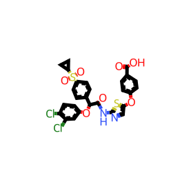 O=C(O)c1ccc(Oc2cnc(NC(=O)C(Oc3ccc(Cl)c(Cl)c3)c3ccc(S(=O)(=O)C4CC4)cc3)s2)cc1